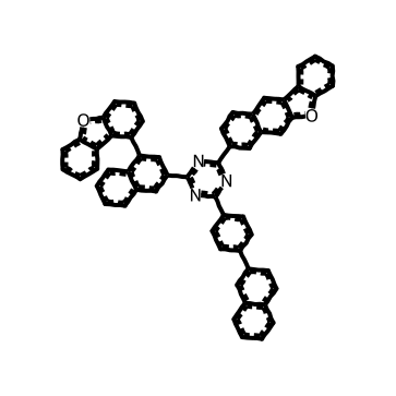 c1ccc2cc(-c3ccc(-c4nc(-c5ccc6cc7c(cc6c5)oc5ccccc57)nc(-c5cc(-c6cccc7oc8ccccc8c67)c6ccccc6c5)n4)cc3)ccc2c1